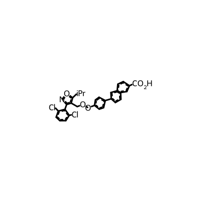 CC(C)c1onc(-c2c(Cl)cccc2Cl)c1COOc1ccc(-c2ccc3cc(C(=O)O)ccc3c2)cc1